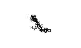 CC[C@H](CC1CCN1c1ncc(Cl)cn1)O[C@H](C)c1nc(-c2ccc(S(C)(=O)=O)c(F)c2)no1